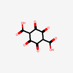 O=C(O)C1C(=O)C(=O)C(C(=O)O)C(=O)C1=O